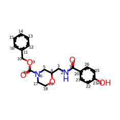 O=C(NCC1CN(C(=O)OCc2ccccc2)CCO1)c1ccc(O)cc1